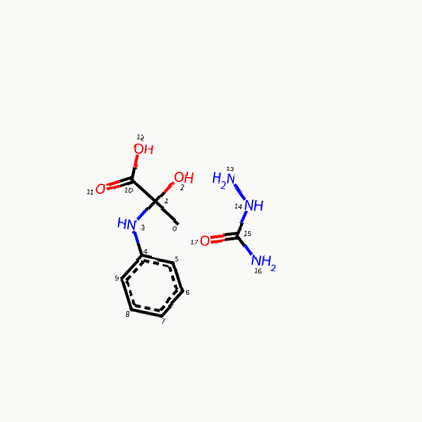 CC(O)(Nc1ccccc1)C(=O)O.NNC(N)=O